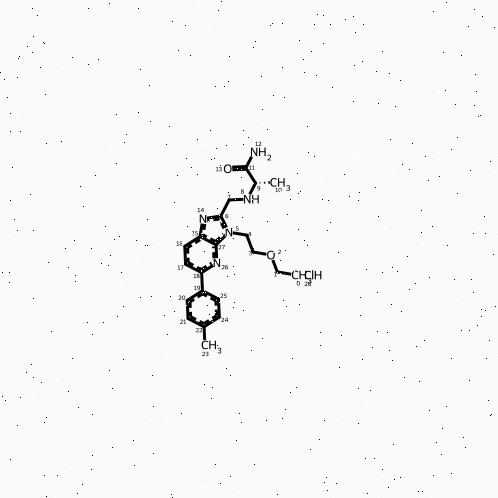 CCOCCn1c(CN[C@@H](C)C(N)=O)nc2ccc(-c3ccc(C)cc3)nc21.Cl